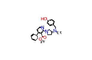 CCN(Cc1ccc(O)cc1)[C@@H]1CCN(c2nccc(C3C=CC=CC3)c2C(=O)OC(C)C)C1